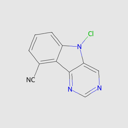 N#Cc1cccc2c1c1ncncc1n2Cl